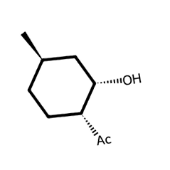 CC(=O)[C@@H]1CC[C@@H](C)C[C@@H]1O